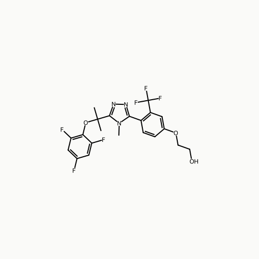 Cn1c(-c2ccc(OCCO)cc2C(F)(F)F)nnc1C(C)(C)Oc1c(F)cc(F)cc1F